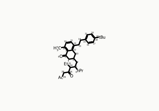 CCCC(CC1CC(=O)c2c(C)ccc(CCc3ccc(C(C)(C)C)cc3)c2C1)C(CC)C(=O)CC(C)=O